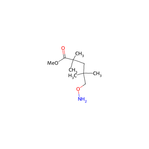 COC(=O)C(C)(C)CC(C)(C)CON